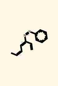 C=CC(=C\C=C/C)/N=N\c1ccccc1